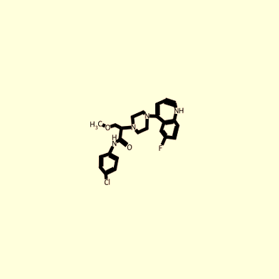 COCC(C(=O)Nc1ccc(Cl)cc1)N1CCN(C2=CC#CNc3ccc(F)cc32)CC1